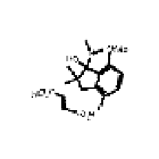 COc1ccc(F)c2c1C(O)(N(C)C)C(C)(C)C2.O=C(O)C=CC(=O)O